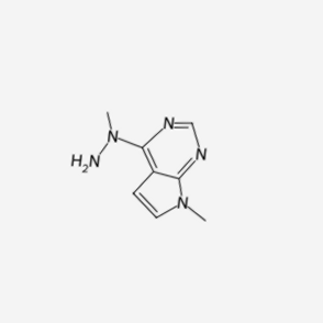 CN(N)c1ncnc2c1ccn2C